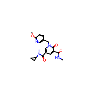 CNC(=O)c1cc(C(=O)NC2CC2)cn(Cc2ccc(OC)nc2)c1=O